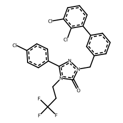 O=c1n(Cc2cccc(-c3cccc(Cl)c3Cl)c2)nc(-c2ccc(Cl)cc2)n1CCC(F)(F)F